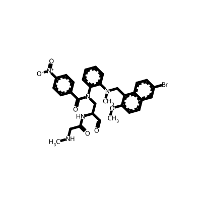 CNCC(=O)NC(C=O)CN(C(=O)c1ccc([N+](=O)[O-])cc1)c1ccccc1N(C)Cc1c(OC)ccc2cc(Br)ccc12